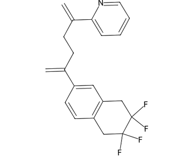 C=C(CCC(=C)c1ccccn1)c1ccc2c(c1)CC(F)(F)C(F)(F)C2